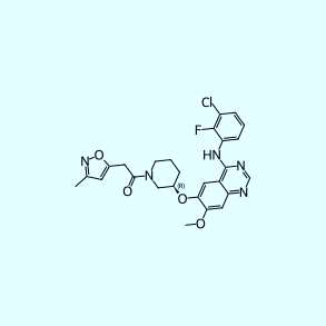 COc1cc2ncnc(Nc3cccc(Cl)c3F)c2cc1O[C@@H]1CCCN(C(=O)Cc2cc(C)no2)C1